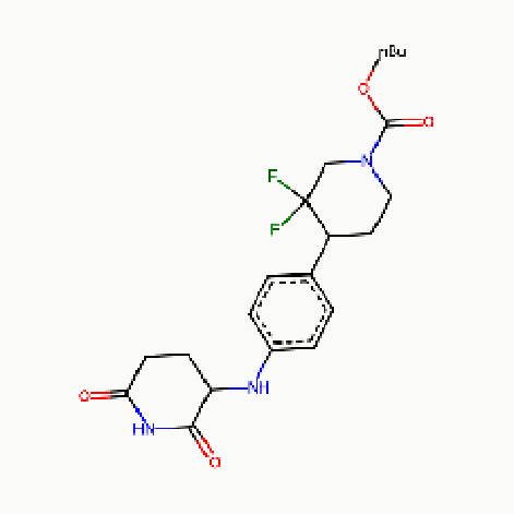 CCCCOC(=O)N1CCC(c2ccc(NC3CCC(=O)NC3=O)cc2)C(F)(F)C1